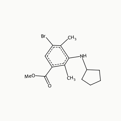 COC(=O)c1cc(Br)c(C)c(NC2CCCC2)c1C